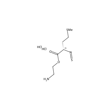 CSCC[C@H](N=S)C(=O)OCCN.Cl.Cl